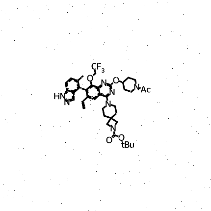 C=Cc1cc2c(N3CCC4(CC3)CN(C(=O)OC(C)(C)C)C4)nc(OC3CCN(C(C)=O)CC3)nc2c(OCC(F)(F)F)c1-c1c(C)ccc2[nH]ncc12